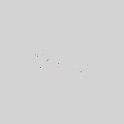 C=C(C)C(=O)OCCC(=O)Oc1cccnc1O